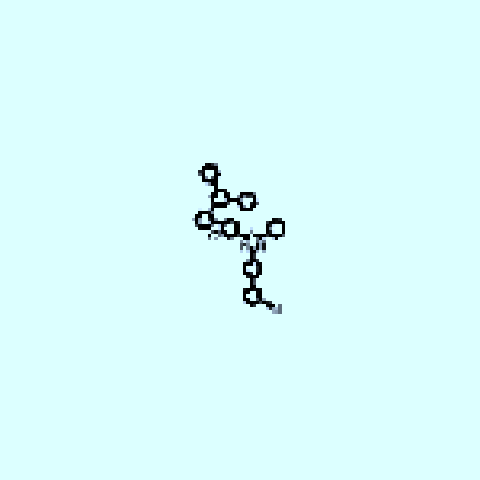 N#Cc1cccc(-c2ccc(-c3nc(-c4ccccc4)nc(-c4ccc5c(c4)oc4cccc(-c6cc(-c7ccccc7)cc(-c7ccccc7)c6)c45)n3)cc2)c1